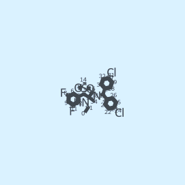 CCNC1(C(c2cc(F)cc(F)c2)S(C)(=O)=O)CN(C(c2ccc(Cl)cc2)c2ccc(Cl)cc2)C1